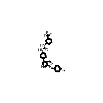 COc1ccc(Cn2ncc3c(-c4ccc(NC(=O)Nc5cccc(C(F)(F)F)c5)cc4)cncc32)cc1